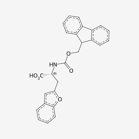 O=C(N[C@H](Cc1cc2ccccc2o1)C(=O)O)OCC1c2ccccc2-c2ccccc21